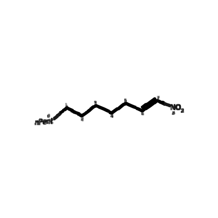 CCCCCCCCCCC=C[N+](=O)[O-]